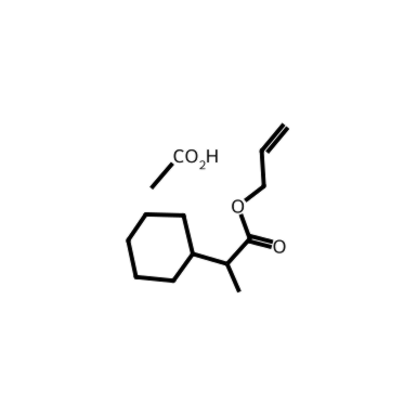 C=CCOC(=O)C(C)C1CCCCC1.CC(=O)O